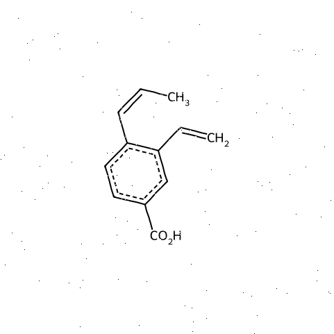 C=Cc1cc(C(=O)O)ccc1/C=C\C